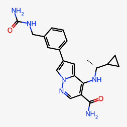 C[C@@H](Nc1c(C(N)=O)cnn2cc(-c3cccc(CNC(N)=O)c3)cc12)C1CC1